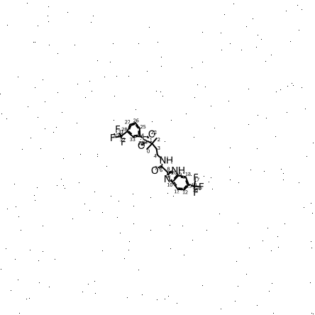 CC(C)(CCNC(=O)c1nc2ccc(C(F)(F)F)cc2[nH]1)S(=O)(=O)c1cccc(C(F)(F)F)c1